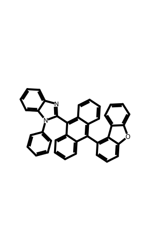 c1ccc(-n2c(-c3c4ccccc4c(-c4cccc5oc6ccccc6c45)c4ccccc34)nc3ccccc32)cc1